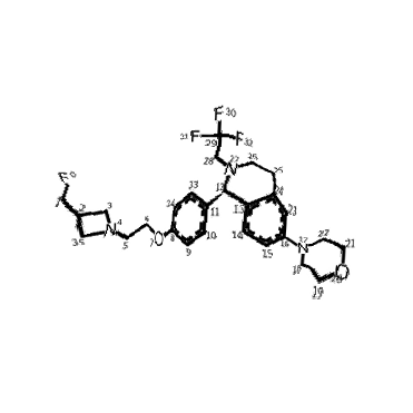 FCC1CN(CCOc2ccc([C@@H]3c4ccc(N5CCOCC5)cc4CCN3CC(F)(F)F)cc2)C1